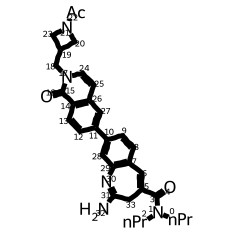 CCCN(CCC)C(=O)C1=Cc2ccc(-c3ccc4c(=O)n(CC5CN(C(C)=O)C5)ccc4c3)cc2N=C(N)C1